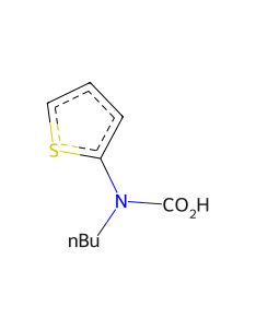 CCCCN(C(=O)O)c1cccs1